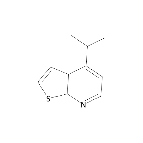 CC(C)C1=CC=NC2SC=CC12